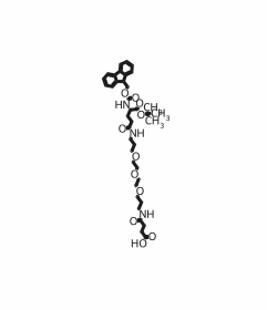 CC(C)(C)OC(=O)C(CCC(=O)NCCCOCCOCCOCCCNC(=O)CCC(=O)O)NC(=O)OCC1c2ccccc2-c2ccccc21